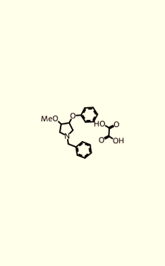 COC1CN(Cc2ccccc2)CC1Oc1ccccc1.O=C(O)C(=O)O